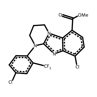 COC(=O)c1ccc(Cl)c2nc3n(c12)CCCN3c1ccc(Cl)cc1C(F)(F)F